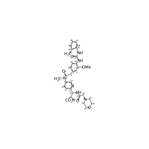 COc1cc(CC(=O)N(C)c2ccc(C(CC(=O)O)NC(=O)CN3CCOCC3)nc2)ccc1NC(=O)Nc1ccccc1C